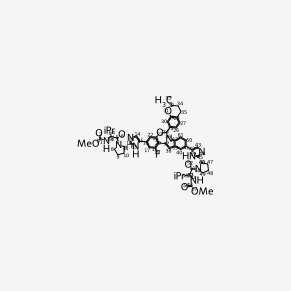 COC(=O)N[C@H](C(=O)N1CCC[C@H]1c1ncc(-c2cc(F)c3c(c2)OC(c2ccc4c(c2)OC(C)CC4)n2c-3cc3cc(-c4cnc([C@@H]5CCCN5C(=O)[C@@H](NC(=O)OC)C(C)C)[nH]4)ccc32)[nH]1)C(C)C